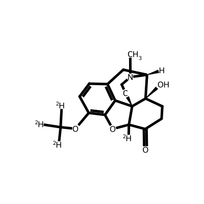 [2H]C([2H])([2H])Oc1ccc2c3c1OC1([2H])C(=O)CC[C@@]4(O)[C@@H](C2)N(C)CC[C@]314